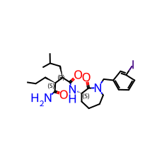 CCC[C@H](C(N)=O)[C@@H](CC(C)C)C(=O)N[C@H]1CCCCN(Cc2cccc(I)c2)C1=O